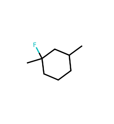 CC1CCCC(C)(F)C1